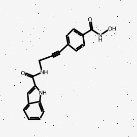 O=C(NO)c1ccc(C#CCNC(=O)c2cc3ccccc3[nH]2)cc1